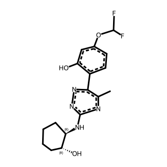 Cc1nc(N[C@@H]2CCCC[C@H]2O)nnc1-c1ccc(OC(F)F)cc1O